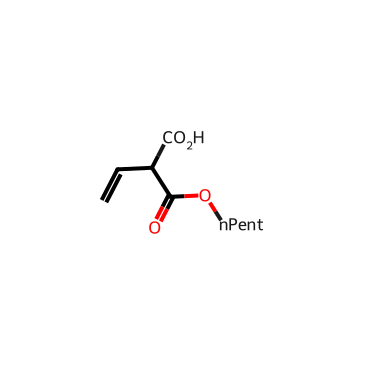 C=CC(C(=O)O)C(=O)OCCCCC